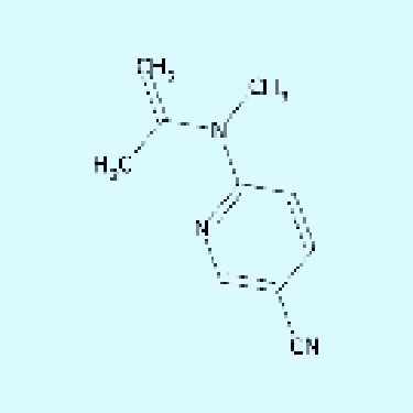 C=C(C)N(C)c1ccc(C#N)cn1